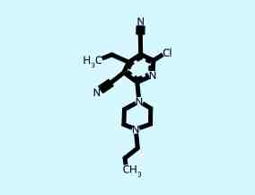 CCCN1CCN(c2nc(Cl)c(C#N)c(CC)c2C#N)CC1